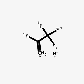 C=C(F)C(F)(F)F.[H+]